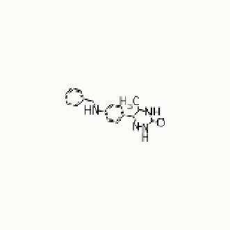 CC1NC(=O)NN=C1c1ccc(NCc2ccccc2)cc1